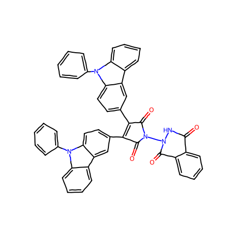 O=C1C(c2ccc3c(c2)c2ccccc2n3-c2ccccc2)=C(c2ccc3c(c2)c2ccccc2n3-c2ccccc2)C(=O)N1n1[nH]c(=O)c2ccccc2c1=O